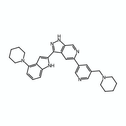 c1cc(N2CCCCC2)c2cc(-c3n[nH]c4cnc(-c5cncc(CN6CCCCC6)c5)cc34)[nH]c2c1